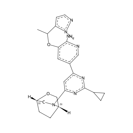 CC(Oc1cc(-c2cc(N3C[C@@H]4CC[C@H]3CO4)nc(C3CC3)n2)cnc1N)c1ccnn1C